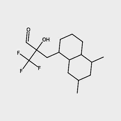 CC1CC(C)C2CCCC(CC(O)(C=O)C(F)(F)F)C2C1